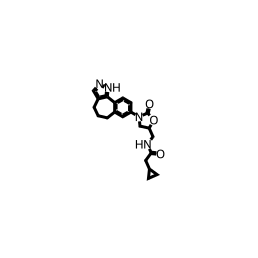 O=C(CC1CC1)NCC1CN(c2ccc3c(c2)CCCc2cn[nH]c2-3)C(=O)O1